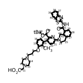 Cc1c(OCCCN2CCN(CC(=O)O)CC2)cccc1-c1ccc(N2CCc3cccc(C(=O)Nc4nc5ccccc5s4)c3C2)nc1C(=O)OC(C)(C)C